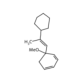 COC1(C=C(C)C2CCCCC2)C=CC=CC1